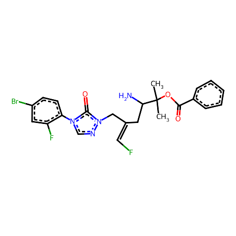 CC(C)(OC(=O)c1ccccc1)C(N)C/C(=C\F)Cn1ncn(-c2ccc(Br)cc2F)c1=O